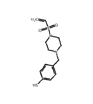 C=CS(=O)(=O)N1CCN(Cc2ccc(S)cc2)CC1